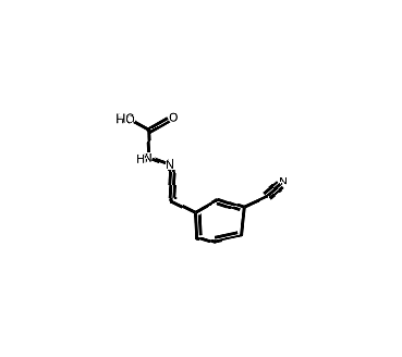 N#Cc1cccc(C=NNC(=O)O)c1